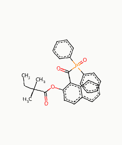 CCC(C)(C)C(=O)Oc1ccc2ccccc2c1C(=O)P(=O)(c1ccccc1)c1ccccc1